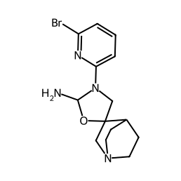 NC1OC2(CN3CCC2CC3)CN1c1cccc(Br)n1